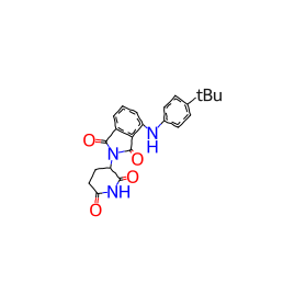 CC(C)(C)c1ccc(Nc2cccc3c2C(=O)N(C2CCC(=O)NC2=O)C3=O)cc1